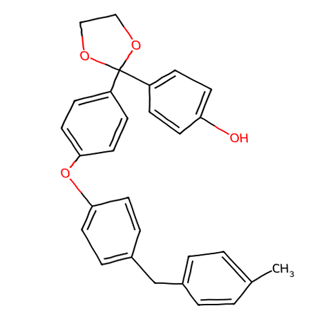 Cc1ccc(Cc2ccc(Oc3ccc(C4(c5ccc(O)cc5)OCCO4)cc3)cc2)cc1